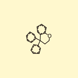 c1ccc(C2(c3ccccc3)CCOc3ccccc32)cc1